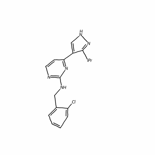 CC(C)c1n[nH]cc1-c1ccnc(NCc2ccccc2Cl)n1